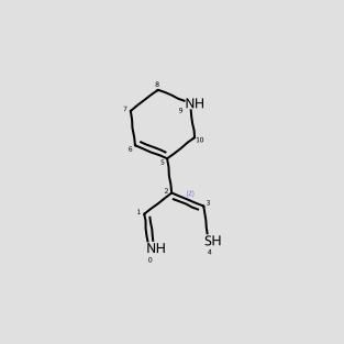 N=C/C(=C\S)C1=CCCNC1